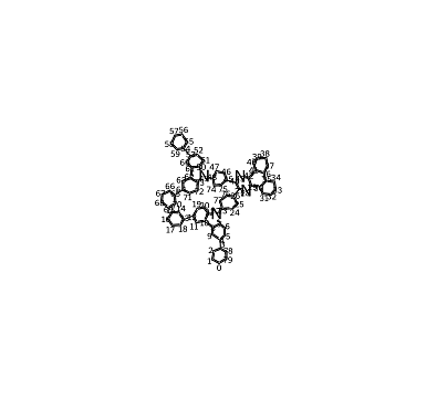 c1ccc(-c2ccc3c(c2)c2cc(-c4ccccc4)ccc2n3-c2ccc(-c3nc4c5ccccc5c5ccccc5c4nc3-c3ccc(-n4c5ccc(-c6ccccc6)cc5c5cc(-c6ccccc6)ccc54)cc3)cc2)cc1